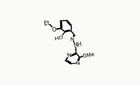 CCOc1cccc(C=NNc2nccnc2OC)c1O